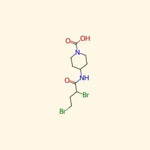 O=C(NC1CCN(C(=O)O)CC1)C(Br)CCBr